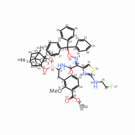 COc1c(CC(NC(=O)/C(=N\OC(c2ccccc2)(c2ccccc2)c2ccccc2)c2csc(NCCF)n2)B2OC3C[C@H]4C[C@@H](C4(C)C)[C@]3(C)O2)cccc1C(=O)OC(C)(C)C